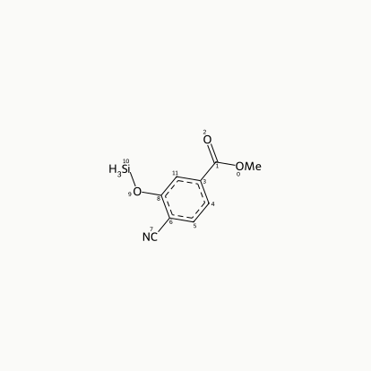 COC(=O)c1ccc(C#N)c(O[SiH3])c1